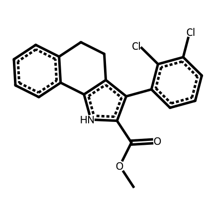 COC(=O)c1[nH]c2c(c1-c1cccc(Cl)c1Cl)CCc1ccccc1-2